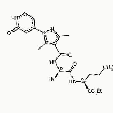 CCOC(=O)CC[C@H](NC(=O)[C@H](NC(=O)c1c(C)nn(-c2cc[nH]c(=O)c2)c1C)C(C)C)C(=O)OCC